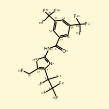 O=C(Nc1nc(C(F)(F)C(F)(F)F)c(CF)s1)c1cc(C(F)(F)F)cc(C(F)(F)F)c1